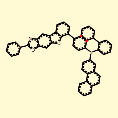 c1ccc(-c2nc3cc4c(cc3o2)oc2c(-c3ccc(N(c5ccc6c(ccc7ccccc76)c5)c5ccccc5-c5ccccc5)cc3)cccc24)cc1